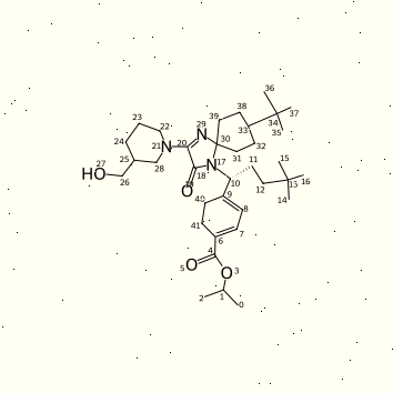 CC(C)OC(=O)C1=CC=C([C@@H](CCC(C)(C)C)N2C(=O)C(N3CCCC(CO)C3)=NC23CCC(C(C)(C)C)CC3)CC1